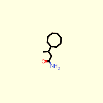 CC(CC(N)=O)C1CCCCCCC1